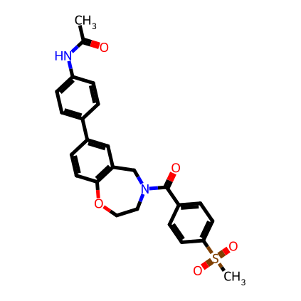 CC(=O)Nc1ccc(-c2ccc3c(c2)CN(C(=O)c2ccc(S(C)(=O)=O)cc2)CCO3)cc1